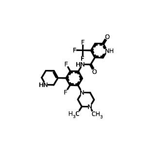 CC1CN(c2cc(NC(=O)c3c[nH]c(=O)cc3C(F)(F)F)c(F)c(C3=CCCNC3)c2F)CCN1C